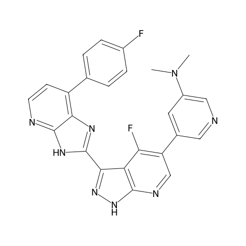 CN(C)c1cncc(-c2cnc3[nH]nc(-c4nc5c(-c6ccc(F)cc6)ccnc5[nH]4)c3c2F)c1